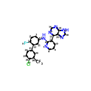 Fc1[c]cc(Nc2ncccc2-c2ncnc3[nH]cnc23)cc1-c1ccc(Cl)c(C(F)(F)F)c1